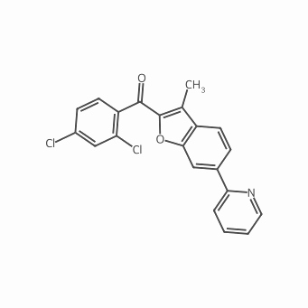 Cc1c(C(=O)c2ccc(Cl)cc2Cl)oc2cc(-c3ccccn3)ccc12